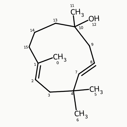 C/C1=C\CC(C)(C)/C=C/CC(C)(O)CCC1